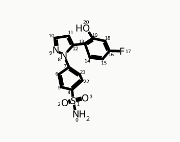 NS(=O)(=O)c1ccc(-n2nccc2-c2ccc(F)cc2O)cc1